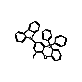 Ic1cc(-n2c3ccccc3c3ccccc32)cc2c1Oc1ccccc1[Si]2(c1ccccc1)c1ccccc1